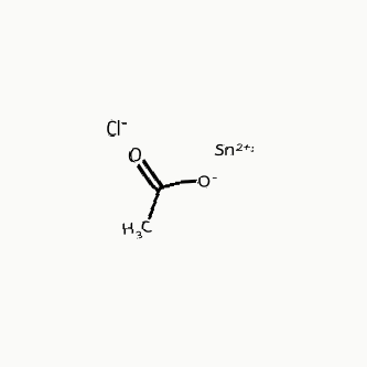 CC(=O)[O-].[Cl-].[Sn+2]